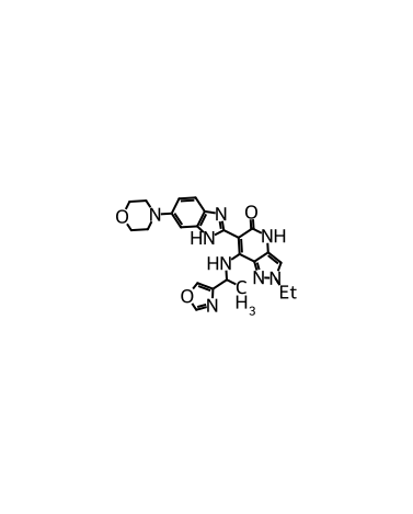 CCn1cc2[nH]c(=O)c(-c3nc4ccc(N5CCOCC5)cc4[nH]3)c(NC(C)c3cocn3)c2n1